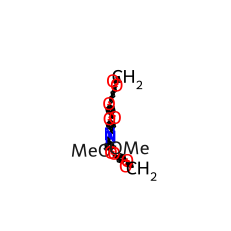 C=CC(=O)OCCCCCCOc1ccc(C(=O)Oc2ccc(/C=N/N=C/c3cc(OC)c(OOCc4ccc(OC(=O)C=C)cc4)c(OC)c3)cc2)cc1